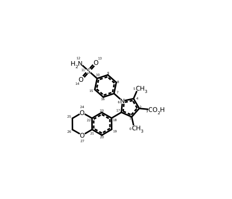 Cc1c(C(=O)O)c(C)n(-c2ccc(S(N)(=O)=O)cc2)c1-c1ccc2c(c1)OCCO2